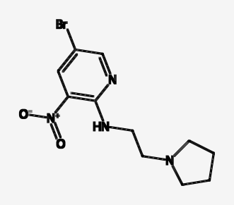 O=[N+]([O-])c1cc(Br)cnc1NCCN1CCCC1